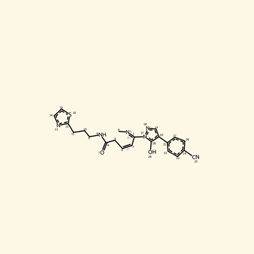 C/N=C(\C=C/CC(=O)NCCCc1nccs1)n1ncc(-c2ccc(C#N)cc2)c1O